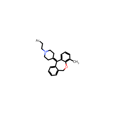 CC(=O)CCN1CCC(=C2c3ccccc3COc3c(C)cccc32)CC1